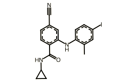 Cc1cc(I)ccc1Nc1cc(C#N)ccc1C(=O)NC1CC1